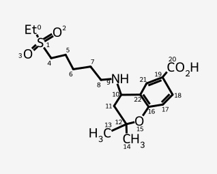 CCS(=O)(=O)CCCCCNC1CC(C)(C)Oc2ccc(C(=O)O)cc21